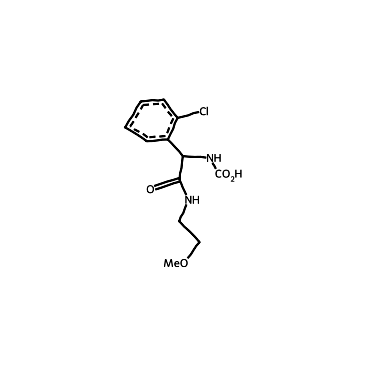 COCCNC(=O)C(NC(=O)O)c1ccccc1Cl